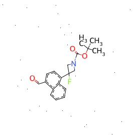 CC(C)(C)OC(=O)N1CC(F)(c2ccc(C=O)c3ccccc23)C1